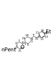 CCCCCC1CCC(C2CCC(CCc3ccc(CC)cc3)CC2)OC1